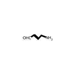 NCC=C[C]=O